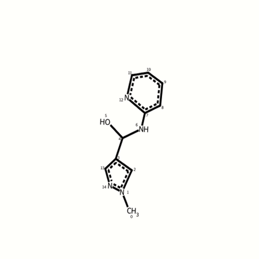 Cn1cc(C(O)Nc2ccccn2)cn1